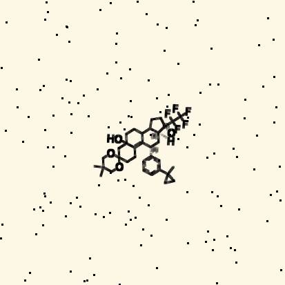 CC1(C)COC2(CCC3=C4C(CCC3(O)C2)C2CC[C@@](O)(C(F)(F)C(F)(F)F)[C@@]2(C)C[C@@H]4c2cccc(C3(C)CC3)c2)OC1